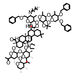 CCC1O[C@@H](OC2[C@H](O[C@H]3CCC4(C)C5CC=C6C7CC(C)(C)CC[C@]7(C(=O)N[C@H]7OC(COCc8ccccc8)[C@H](N=[N+]=[N-])C(C)C7O[C@@H]7OC(C)[C@H](O[C@@H]8OC[C@@H](OCc9ccccc9)C(OCc9ccccc9)C8C)C8OC(C)(C)OC87)C(OC)C[C@@]6(C)[C@@]5(C)CC[C@H]4[C@@]3(C)C=O)OC(C(C)=O)[C@@H](C)[C@@H]2O[C@@H]2OC[C@@H](C)[C@@H](C)C2C)C(O[Si](CC)(CC)CC)[C@@H](C)[C@@H]1C